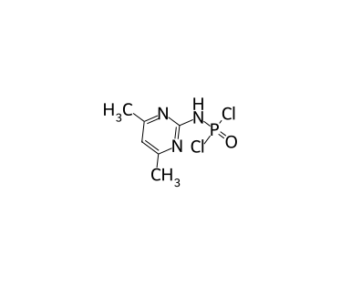 Cc1cc(C)nc(NP(=O)(Cl)Cl)n1